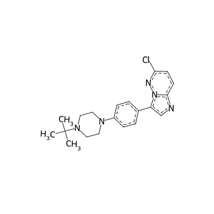 CC(C)(C)N1CCN(c2ccc(-c3cnc4ccc(Cl)nn34)cc2)CC1